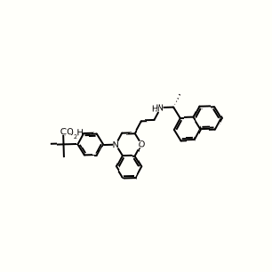 C[C@@H](NCCC1CN(c2ccc(C(C)(C)C(=O)O)cc2)c2ccccc2O1)c1cccc2ccccc12